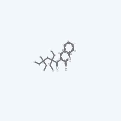 CCC(C)(CC)CC(CC)(CC)C(=O)c1cc2ccccc2oc1=O